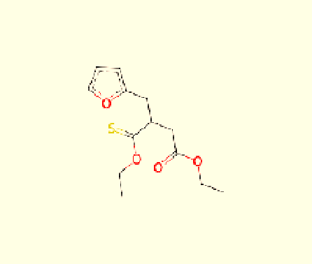 CCOC(=O)CC(Cc1ccco1)C(=S)OCC